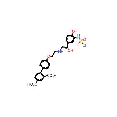 CS(=O)(=O)Nc1cc([C@H](O)CNCCOc2ccc(-c3ccc(C(=O)O)cc3C(=O)O)cc2)ccc1O